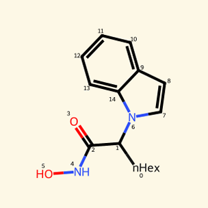 CCCCCCC(C(=O)NO)n1ccc2ccccc21